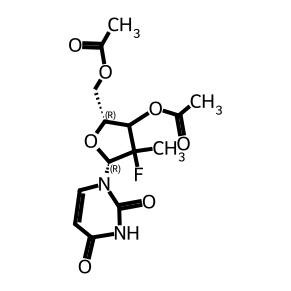 CC(=O)OC[C@H]1O[C@@H](n2ccc(=O)[nH]c2=O)C(C)(F)C1OC(C)=O